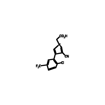 N#Cc1cn(CC(=O)O)cc1-c1cc(C(F)(F)F)ccc1Cl